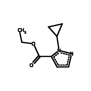 CCOC(=O)c1ccnn1C1CC1